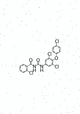 O=C(NC(=O)c1ccccc1Cl)Nc1cc(Cl)c(Oc2ccc(Cl)cc2)c(Cl)c1